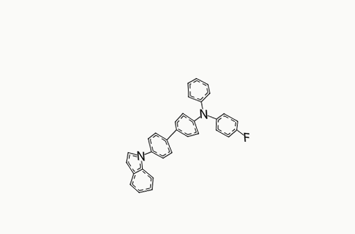 Fc1ccc(N(c2ccccc2)c2ccc(-c3ccc(-n4ccc5ccccc54)cc3)cc2)cc1